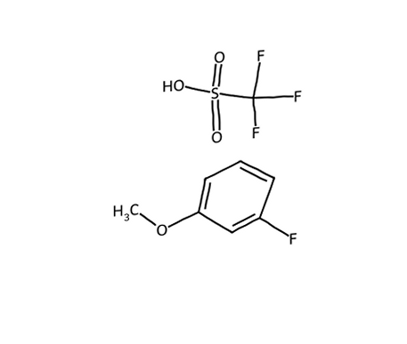 COc1cccc(F)c1.O=S(=O)(O)C(F)(F)F